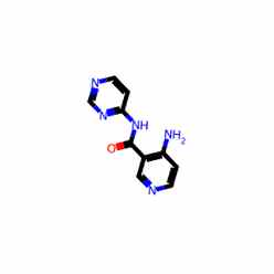 Nc1ccncc1C(=O)Nc1ccncn1